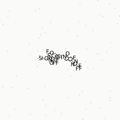 C[Si](C)(C)CCOCn1ncc(N[C@H](CCCn2ccc3cc(-c4ncc(C(F)(F)F)cn4)c(F)cc3c2=O)CCOC(F)F)c(C(F)(F)F)c1=O